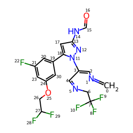 C=N/C=C(\C=N/CC(F)(F)F)n1nc(NC=O)cc1-c1cc(F)cc(OCC(F)F)c1